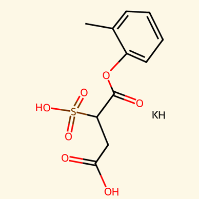 Cc1ccccc1OC(=O)C(CC(=O)O)S(=O)(=O)O.[KH]